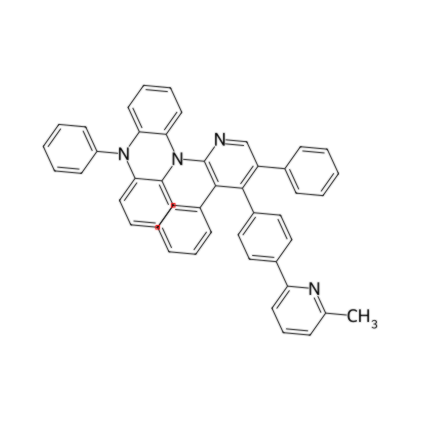 Cc1cccc(-c2ccc(-c3c(-c4ccccc4)cnc(N4c5ccccc5N(c5ccccc5)c5ccccc54)c3-c3ccccc3)cc2)n1